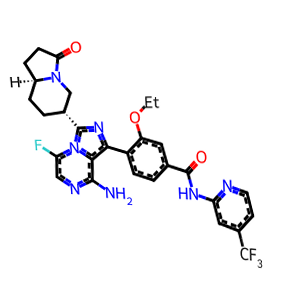 CCOc1cc(C(=O)Nc2cc(C(F)(F)F)ccn2)ccc1-c1nc([C@@H]2CC[C@H]3CCC(=O)N3C2)n2c(F)cnc(N)c12